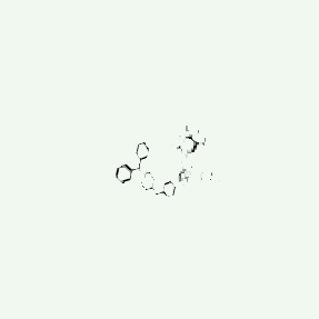 CP(=O)(OCn1cc(F)c(=O)[nH]c1=O)Oc1ccc(CC2CCN(C(c3ccccc3)c3ccccc3)CC2)cc1